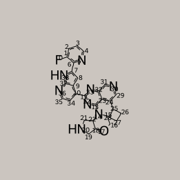 Fc1cccnc1-c1cc2c(-c3nc(N4CCOC5CNCC54)c4c(C5CCC5)cncc4n3)ccnc2[nH]1